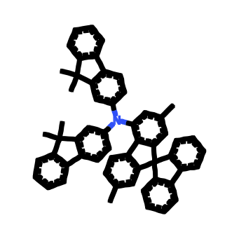 Cc1ccc2c(c1)C1(c3ccccc3-c3ccccc31)c1cc(C)cc(N(c3ccc4c(c3)C(C)(C)c3ccccc3-4)c3ccc4c(c3)C(C)(C)c3ccccc3-4)c1-2